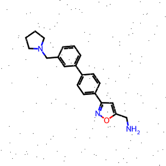 NCc1cc(-c2ccc(-c3cccc(CN4CCCC4)c3)cc2)no1